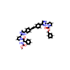 COC(=O)N[C@@H](C(=O)N1CCC[C@H]1c1ncc(-c2ccc(C#Cc3ccc(-c4cnc([C@@H]5CCCN5C(=O)OCc5ccccc5)[nH]4)cc3)cc2)[nH]1)c1ccccc1